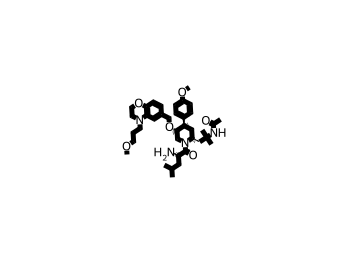 COCCCN1CCOc2ccc(CO[C@H]3CN(C(=O)[C@@H](N)CC(C)C)[C@@H](CC(C)(C)NC(C)=O)C[C@@H]3c3ccc(OC)cc3)cc21